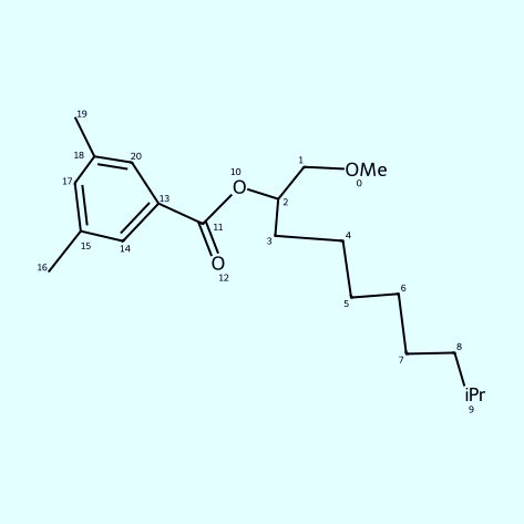 COCC(CCCCCCC(C)C)OC(=O)c1cc(C)cc(C)c1